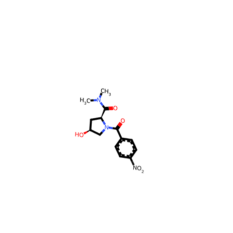 CN(C)C(=O)[C@@H]1C[C@H](O)CN1C(=O)c1ccc([N+](=O)[O-])cc1